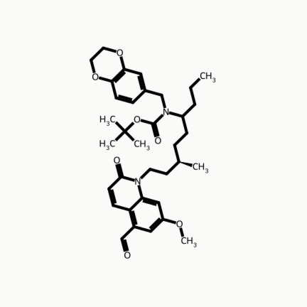 CCCC(CC[C@@H](C)CCn1c(=O)ccc2c(C=O)cc(OC)cc21)N(Cc1ccc2c(c1)OCCO2)C(=O)OC(C)(C)C